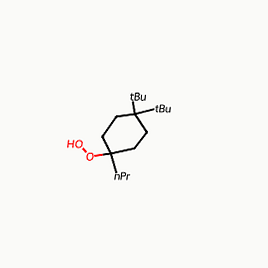 CCCC1(OO)CCC(C(C)(C)C)(C(C)(C)C)CC1